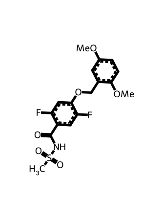 COc1ccc(OC)c(COc2cc(F)c(C(=O)NS(C)(=O)=O)cc2F)c1